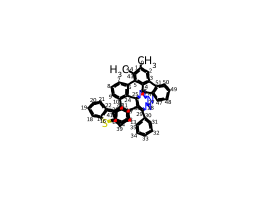 Cc1cc2c(c(-c3cccc(-c4cccc5sc6ccccc6c45)c3-c3nnnc(-c4ccccc4)c3-c3ccccc3)c1C)Cc1ccccc1-2